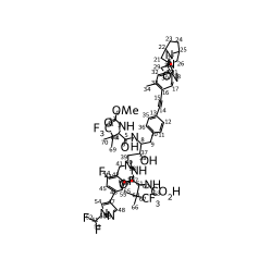 COC(=O)NC(C(=O)NC(Cc1ccc(C#Cc2cnc(N3CC4CCC(C3)N4C3COC3)cc2C)cc1)C(O)CN(Cc1c(F)cc(-c2cnn(C(F)F)c2)cc1F)NC(=O)C(NC(=O)O)C(C)(C)C(F)(F)F)C(C)(C)C(F)(F)F